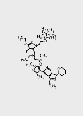 C=Cc1nn(C2CCCCO2)c2cnc(-c3c(C)nn(C)c3O[C@@H](C)CN(CC)Cc3c(I)c(OCC)nn3CCO[Si](C)(C)C(C)(C)C)cc12